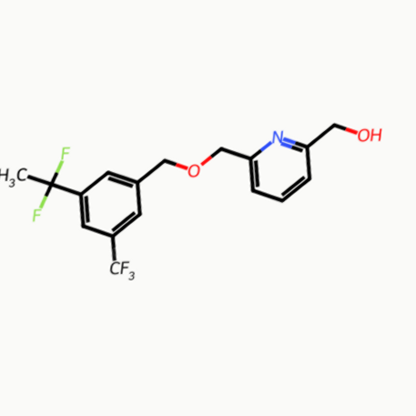 CC(F)(F)c1cc(COCc2cccc(CO)n2)cc(C(F)(F)F)c1